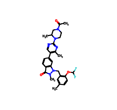 CC(=O)N1CCN(c2ncc(-c3ccc4c(=O)n(C)n(Cc5cc(C)ccc5OC(F)F)c4c3)c(C)n2)C(C)C1